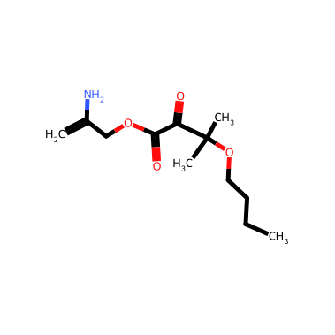 C=C(N)COC(=O)C(=O)C(C)(C)OCCCC